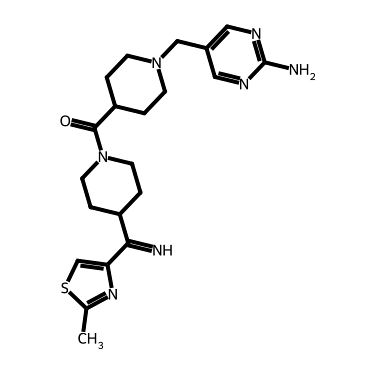 Cc1nc(C(=N)C2CCN(C(=O)C3CCN(Cc4cnc(N)nc4)CC3)CC2)cs1